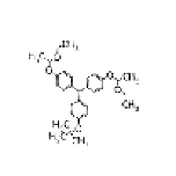 CCOC(C)Oc1ccc(C(c2ccc(OC(C)OCC)cc2)c2ccc(OC(C)(C)C)cc2)cc1